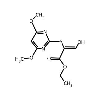 CCOC(=O)/C(=C/O)Sc1nc(OC)cc(OC)n1